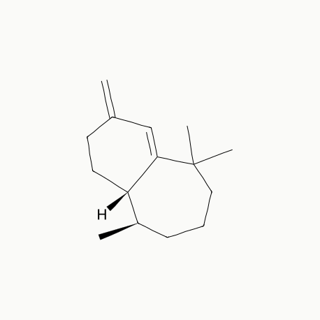 C=C1C=C2[C@@H](CC1)[C@H](C)CCCC2(C)C